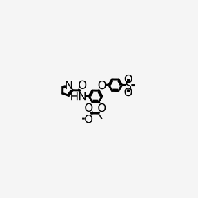 COC(=O)[C@H](C)Oc1cc(NC(=O)C2=CCC=N2)cc(Oc2ccc(S(C)(=O)=O)cc2)c1